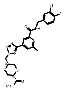 COC(=O)[C@@H]1CO[C@@H](Cn2nnc(-c3cc(C)nc(C(=O)NCc4ccc(F)c(Cl)c4)c3)n2)CO1